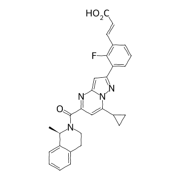 C[C@@H]1c2ccccc2CCN1C(=O)c1cc(C2CC2)n2nc(-c3cccc(/C=C/C(=O)O)c3F)cc2n1